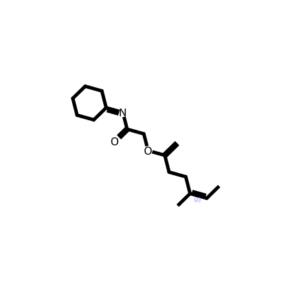 C=C(CC/C(C)=C\C)OCC(=O)N=C1CCCCC1